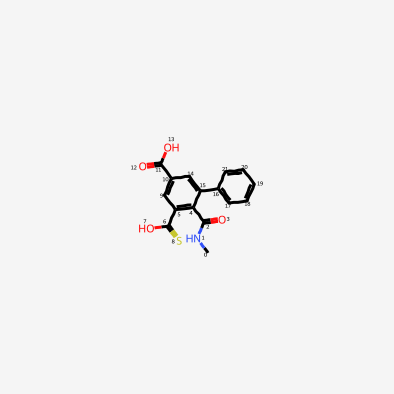 CNC(=O)c1c(C(O)=S)cc(C(=O)O)cc1-c1ccccc1